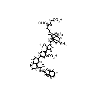 Cc1c(-c2ccc(-c3ccc4nccc(C(=O)Nc5nc6ccccc6s5)c4c3)nc2C(=O)O)cnn1CC12CC3(C)CC(C)(C1)CC(OCCN(C=O)CCC(=O)O)(C3)C2